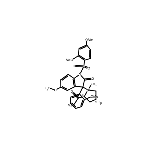 CNC(=O)[C@@H]1C[C@@H](F)C[N+]1(C)C1(c2ccccc2OC)C(=O)N(S(=O)(=O)c2ccc(OC)cc2OC)c2ccc(OC(F)(F)F)cc21